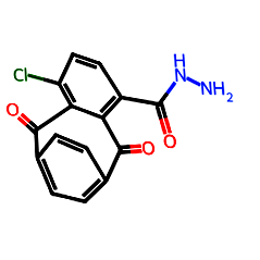 NNC(=O)c1ccc(Cl)c2c(=O)c3ccc(cc3)c(=O)c12